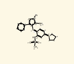 CC(C)n1nc(-c2ccccc2)c(/N=C2\C=CC(=[N+]3CCCC3)C=C2NS(C)(=O)=O)c1N